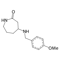 COc1ccc(CNC2CCCNC(=O)C2)cc1